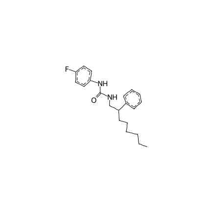 CCCCCCC(CNC(=O)Nc1ccc(F)cc1)c1ccccc1